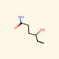 CCC(O)CCC([NH])=O